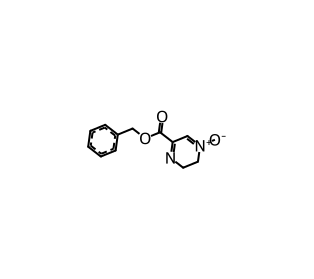 O=C(OCc1ccccc1)C1=NCC[N+]([O-])=C1